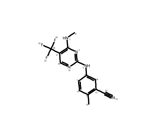 CNc1nc(Nc2ccc(C)c(C#N)c2)ncc1C(F)(F)F